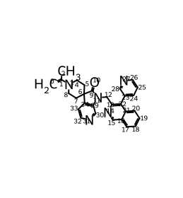 C=C(C)N1CCC2(CC1)C(=O)N(Cc1ncc3ccccc3c1-c1cccnc1)c1cnccc12